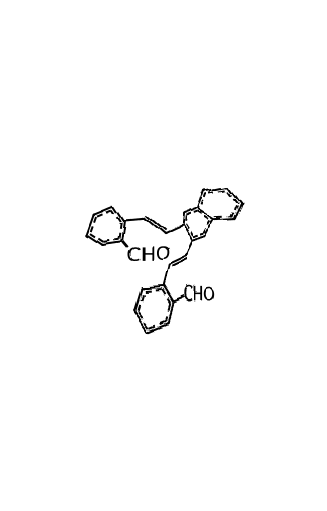 O=Cc1ccccc1C=Cc1cc2ccccc2cc1C=Cc1ccccc1C=O